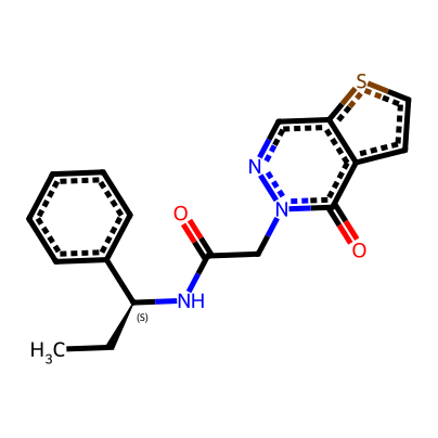 CC[C@H](NC(=O)Cn1ncc2sccc2c1=O)c1ccccc1